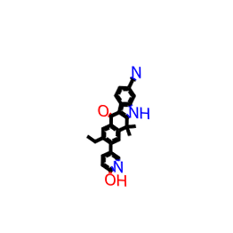 CCc1cc2c(cc1-c1ccc(O)nc1)C(C)(C)c1[nH]c3cc(C#N)ccc3c1C2=O